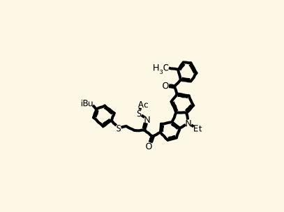 CCC(C)c1ccc(SCCC(=NSC(C)=O)C(=O)c2ccc3c(c2)c2cc(C(=O)c4ccccc4C)ccc2n3CC)cc1